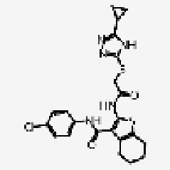 O=C(CSc1nnc(C2CC2)[nH]1)Nc1sc2c(c1C(=O)Nc1ccc(Cl)cc1)CCCC2